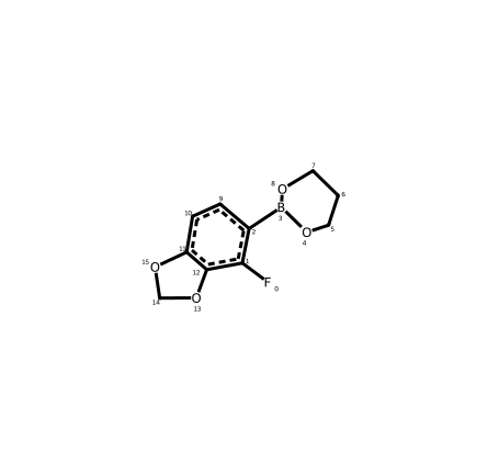 Fc1c(B2OCCCO2)ccc2c1OCO2